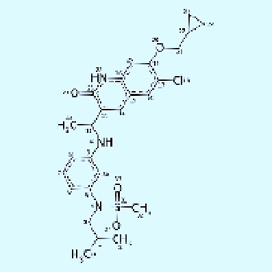 CC(C)CN(c1cccc(NC(C)c2cc3cc(Cl)c(OCC4CC4)cc3[nH]c2=O)c1)S(C)(=O)=O